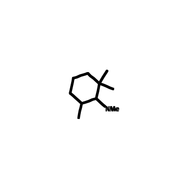 CNC1C(C)CCCC1(C)C